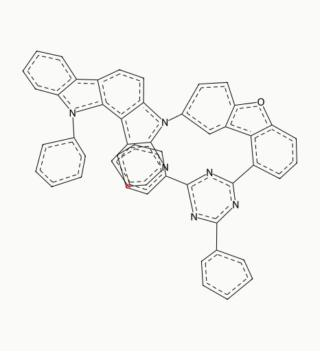 c1ccc(-c2nc(-c3ccccc3)nc(-c3cccc4oc5ccc(-n6c7ccc8c9ccccc9n(-c9ccccc9)c8c7c7cccnc76)cc5c34)n2)cc1